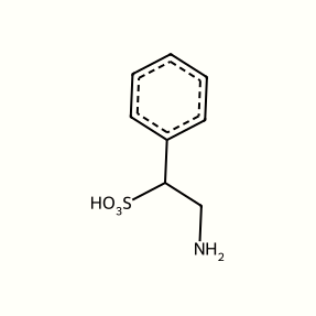 NCC(c1ccccc1)S(=O)(=O)O